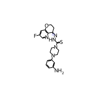 Nc1cccc(N2CCN(C(=S)N/N=C3/CCOc4cc(F)cnc43)CC2)c1